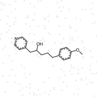 COc1ccc(CCCC(O)Cc2ccncc2)cc1